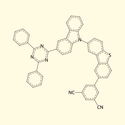 N#Cc1cc(C#N)cc(-c2ccc3sc4ccc(-n5c6ccccc6c6cc(-c7nc(-c8ccccc8)nc(-c8ccccc8)n7)ccc65)cc4c3c2)c1